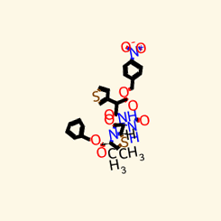 CC1(C)S[C@H]2N(C(=O)[C@@]2(NC=O)NC(=O)C(C(=O)OCc2ccc([N+](=O)[O-])cc2)c2ccsc2)[C@H]1C(=O)OCc1ccccc1